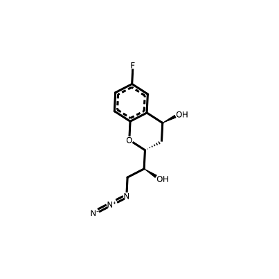 [N-]=[N+]=NC[C@H](O)[C@H]1C[C@H](O)c2cc(F)ccc2O1